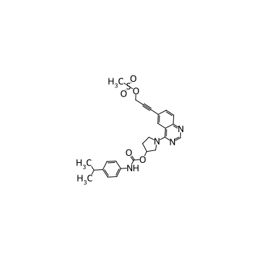 CC(C)c1ccc(NC(=O)OC2CCN(c3ncnc4ccc(C#CCOS(C)(=O)=O)cc34)C2)cc1